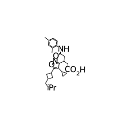 Cc1ccc(NC(=O)CC(CC(=O)O)c2noc(C3CC(CC(C)C)C3)c2C2CC2)c(C)c1